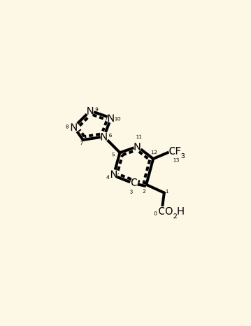 O=C(O)Cc1cnc(-n2cnnn2)nc1C(F)(F)F